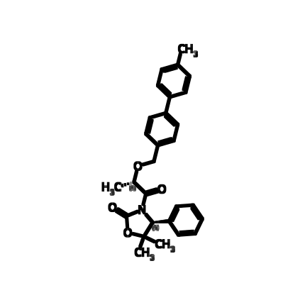 Cc1ccc(-c2ccc(CO[C@@H](C)C(=O)N3C(=O)OC(C)(C)[C@@H]3c3ccccc3)cc2)cc1